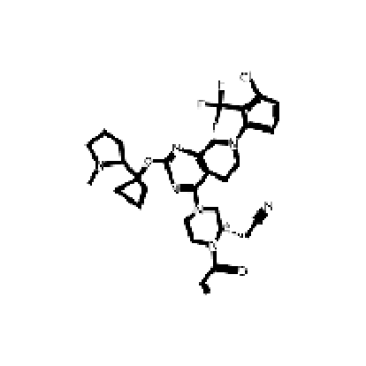 C=CC(=O)N1CCN(c2nc(OC3(C4CCCN4C)CCC3)nc3c2CCN(c2cccc(Cl)c2C(F)(F)F)C3)C[C@@H]1CC#N